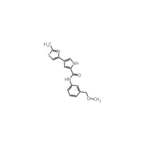 COCc1cccc(NC(=O)c2cc(-c3csc(C)n3)c[nH]2)c1